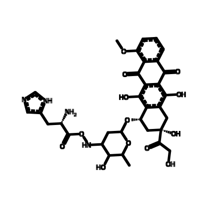 COc1cccc2c1C(=O)c1c(O)c3c(c(O)c1C2=O)C[C@@](O)(C(=O)CO)C[C@@H]3OC1CC(NOC(=O)[C@@H](N)Cc2cnc[nH]2)C(O)C(C)O1